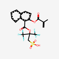 C=C(C)C(=O)Oc1ccc2ccccc2c1C(=O)OC(CS(=O)(=O)O)(C(F)(F)F)C(F)(F)F